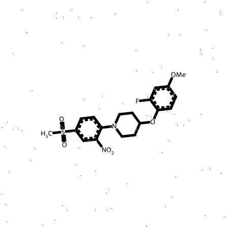 COc1ccc(OC2CCN(c3ccc(S(C)(=O)=O)cc3[N+](=O)[O-])CC2)c(F)c1